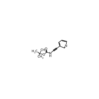 CC(C)(C)OC(=O)NC#Cc1cccnc1